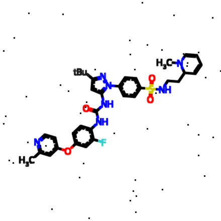 Cc1cc(Oc2ccc(NC(=O)Nc3cc(C(C)(C)C)nn3-c3ccc(S(=O)(=O)NCCC4C=CC=CN4C)cc3)c(F)c2)ccn1